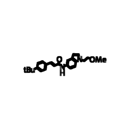 COCCn1ccc2cc(NC(=O)C=Cc3ccc(C(C)(C)C)cc3)ccc21